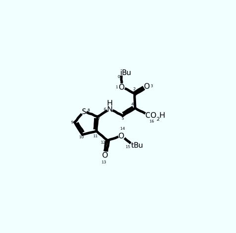 CCC(C)OC(=O)C(=CNc1sccc1C(=O)OC(C)(C)C)C(=O)O